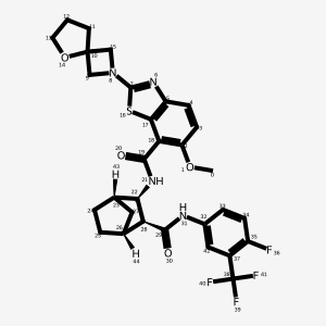 COc1ccc2nc(N3CC4(CCCO4)C3)sc2c1C(=O)N[C@@H]1[C@H]2CC[C@H](C2)[C@@H]1C(=O)Nc1ccc(F)c(C(F)(F)F)c1